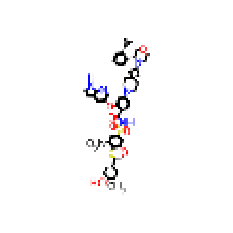 C[C@]1(O)CC[C@H]([C@H]2COc3cc(S(=O)(=O)NC(=O)c4ccc(N5CCC6(CC5)CC(N5CCOC[C@@H]5c5ccccc5C5CC5)C6)cc4Oc4cnc5[nH]ccc5c4)cc([N+](=O)[O-])c3S2)CC1